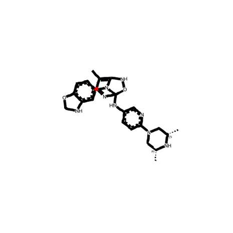 CC1=C2NOC(Nc3ccc(N4C[C@@H](C)N[C@@H](C)C4)nc3)(N=C1)N2c1ccc2c(c1)NCO2